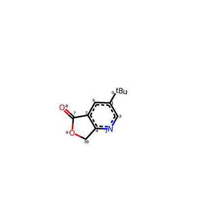 CC(C)(C)c1cnc2c(c1)C(=O)OC2